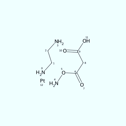 NCCN.NOC(=O)CC(=O)O.[Pt]